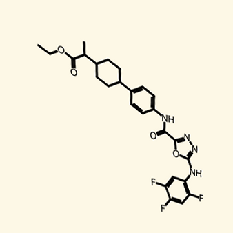 CCOC(=O)C(C)C1CCC(c2ccc(NC(=O)c3nnc(Nc4cc(F)c(F)cc4F)o3)cc2)CC1